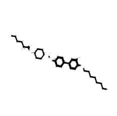 CCCCCCCCOc1ccc(-c2ccc(OC[C@H]3CC[C@H](OC(=O)[C@@H](F)CCCC)CC3)cc2)cc1Cl